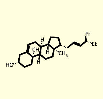 CC[C@H](/C=C/C[C@H]1CC[C@H]2[C@@H]3CC=C4C[C@@H](O)CC[C@]4(C)[C@H]3CC[C@]12C)C(C)C